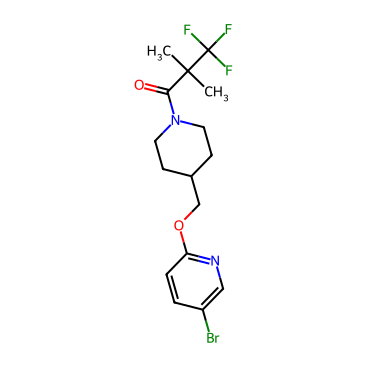 CC(C)(C(=O)N1CCC(COc2ccc(Br)cn2)CC1)C(F)(F)F